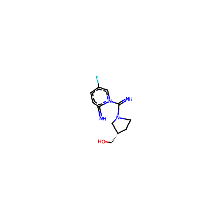 N=C(N1CC[C@H](CO)C1)n1cc(F)ccc1=N